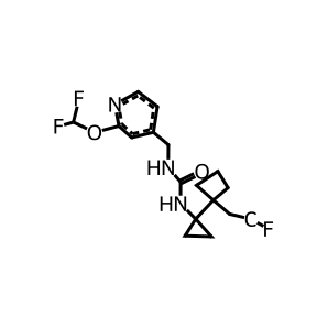 O=C(NCc1ccnc(OC(F)F)c1)NC1(C2(CCF)CCC2)CC1